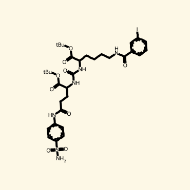 CC(C)(C)OC(=O)C(CCCCNC(=O)c1cccc(I)c1)NC(=O)NC(CCC(=O)Nc1ccc(S(N)(=O)=O)cc1)C(=O)OC(C)(C)C